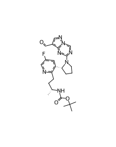 C[C@H](CCc1ncc(F)cc1[C@H]1CCCN1c1ncn2ncc(C=O)c2n1)NC(=O)OC(C)(C)C